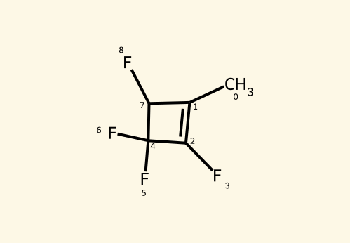 CC1=C(F)C(F)(F)C1F